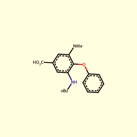 CCCCNc1cc(C(=O)O)cc(NC)c1Oc1ccccc1